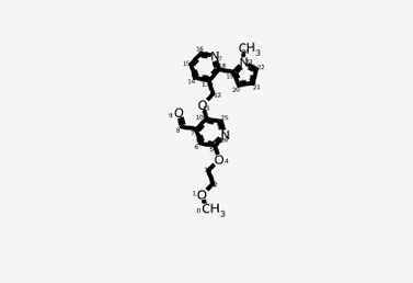 COCCOc1cc(C=O)c(OCc2cccnc2-c2cccn2C)cn1